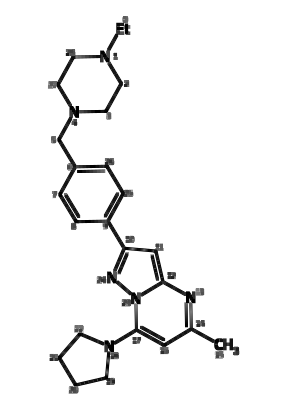 CCN1CCN(Cc2ccc(-c3cc4nc(C)cc(N5CCCC5)n4n3)cc2)CC1